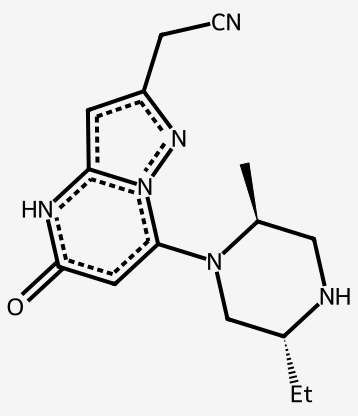 CC[C@@H]1CN(c2cc(=O)[nH]c3cc(CC#N)nn23)[C@@H](C)CN1